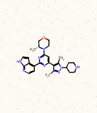 Cc1c(-c2cc(N3CCOC[C@H]3C)nc(-c3ccnc4[nH]ccc34)n2)c(C(F)(F)F)nn1C1CCNCC1